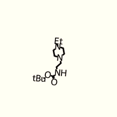 CCN1CCN(CCNC(=O)OC(C)(C)C)CC1